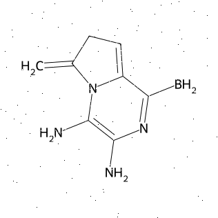 BC1=NC(N)=C(N)N2C(=C)CC=C12